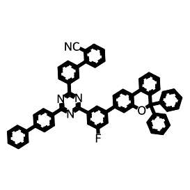 N#Cc1ccccc1-c1cccc(-c2nc(-c3ccc(-c4ccccc4)cc3)nc(-c3cc(F)cc(-c4ccc5c(c4)OC(c4ccccc4)(c4ccccc4)c4ccccc4-5)c3)n2)c1